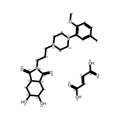 COc1ccc(C)cc1N1CCN(CCCN2C(=O)C3CC(O)C(O)CC3C2=O)CC1.O=C(O)C=CC(=O)O